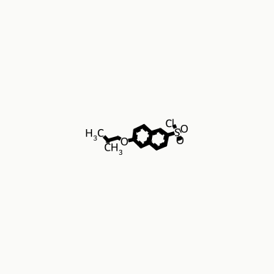 CC(C)COc1ccc2cc(S(=O)(=O)Cl)ccc2c1